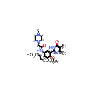 CCCOc1ccc(NC(=O)CN2CCN(C)CC2)cc1-c1nc(CC)c(CC)c(=O)[nH]1.O=C(O)CCC(=O)O